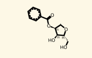 O=C(O[C@H]1[CH]O[C@H](CO)[C@H]1O)c1ccccc1